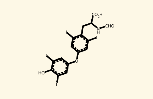 O=CNC(Cc1c(I)cc(Oc2cc(I)c(O)c(I)c2)cc1I)C(=O)O